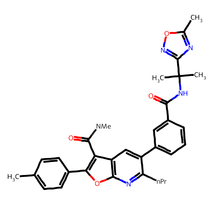 CCCc1nc2oc(-c3ccc(C)cc3)c(C(=O)NC)c2cc1-c1cccc(C(=O)NC(C)(C)c2noc(C)n2)c1